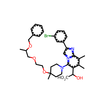 Cc1c(C(O)C(=O)O)c(N2CCC(C)(OCCOCC(C)OCc3ccccc3)CC2)n2cc(-c3cccc(Br)c3)nc2c1C